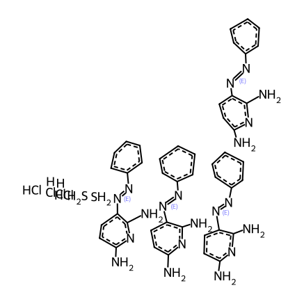 Cl.Cl.Cl.Cl.Nc1ccc(/N=N/c2ccccc2)c(N)n1.Nc1ccc(/N=N/c2ccccc2)c(N)n1.Nc1ccc(/N=N/c2ccccc2)c(N)n1.Nc1ccc(/N=N/c2ccccc2)c(N)n1.S.S